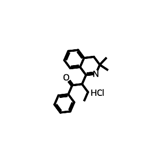 CCC(C(=O)c1ccccc1)C1=NC(C)(C)Cc2ccccc21.Cl